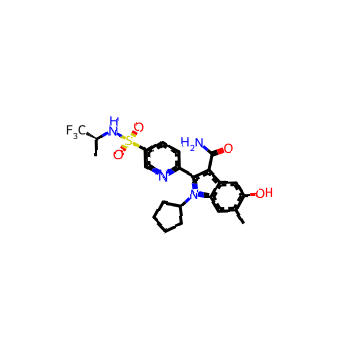 Cc1cc2c(cc1O)c(C(N)=O)c(-c1ccc(S(=O)(=O)N[C@@H](C)C(F)(F)F)cn1)n2C1CCCC1